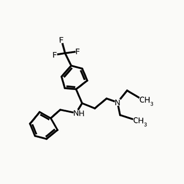 CCN(CC)CCC(NCc1ccccc1)c1ccc(C(F)(F)F)cc1